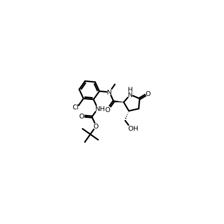 CN(C(=O)[C@H]1NC(=O)C[C@@H]1CO)c1cccc(Cl)c1NC(=O)OC(C)(C)C